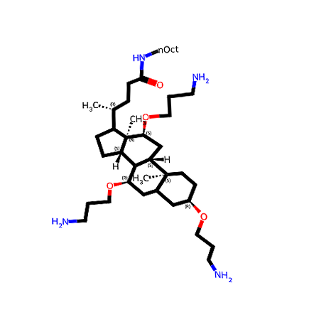 CCCCCCCCNC(=O)CC[C@@H](C)C1CC[C@H]2C3[C@H](OCCCN)CC4C[C@H](OCCCN)CC[C@]4(C)[C@H]3C[C@H](OCCCN)[C@]12C